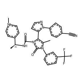 Cc1c(-c2ccnn2-c2ccc(C#N)cc2)n(C(=O)N[C@@H](C)c2cc[n+](C)cc2)c(=O)n1-c1cccc(C(F)(F)F)c1